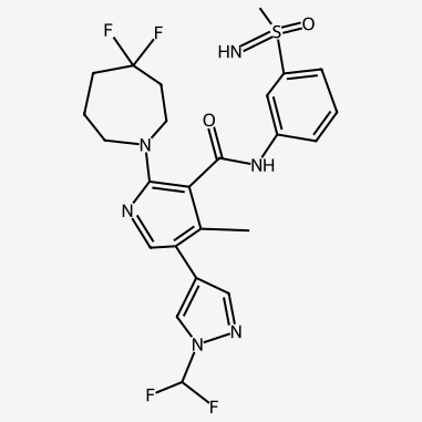 Cc1c(-c2cnn(C(F)F)c2)cnc(N2CCCC(F)(F)CC2)c1C(=O)Nc1cccc(S(C)(=N)=O)c1